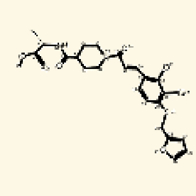 COC(=O)[C@H](C)NC(=O)C1CCN(C(=O)/C=C/c2ccc(SCc3ccco3)c(Cl)c2Cl)CC1